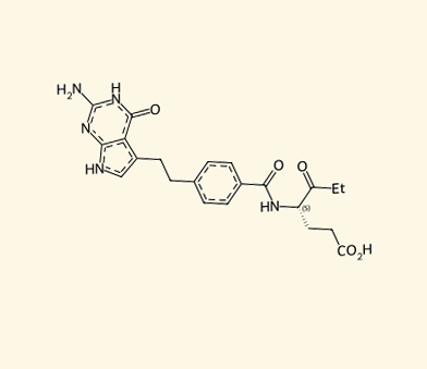 CCC(=O)[C@H](CCC(=O)O)NC(=O)c1ccc(CCc2c[nH]c3nc(N)[nH]c(=O)c23)cc1